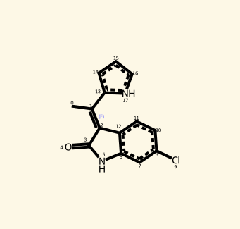 C/C(=C1\C(=O)Nc2cc(Cl)ccc21)c1ccc[nH]1